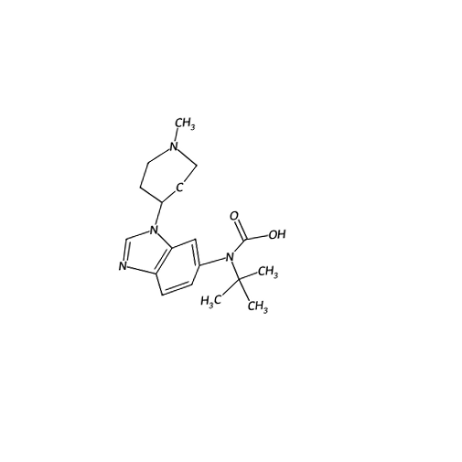 CN1CCC(n2cnc3ccc(N(C(=O)O)C(C)(C)C)cc32)CC1